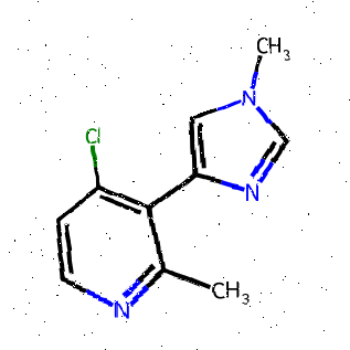 Cc1nccc(Cl)c1-c1cn(C)cn1